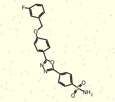 NS(=O)(=O)c1ccc(-c2nnc(-c3ccc(OCc4cccc(F)c4)cc3)o2)cc1